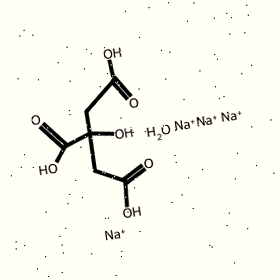 O.O=C(O)CC(O)(CC(=O)O)C(=O)O.[Na+].[Na+].[Na+].[Na+]